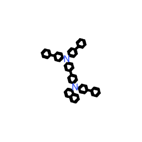 c1ccc(-c2ccc(N(c3ccc(-c4ccccc4)cc3)c3ccc(-c4ccc(N(c5ccc(-c6ccccc6)cc5)c5cccc6ccccc56)cc4)cc3)cc2)cc1